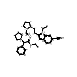 CCOC(=O)C(c1ccccc1)N1CCC[C@@H]1C(=O)N1CCC[C@H]1CCc1cc2ccc(C#N)cc2n1CC